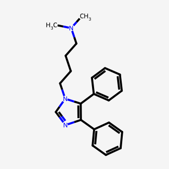 CN(C)CCCCn1cnc(-c2ccccc2)c1-c1ccccc1